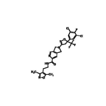 Cc1noc(C)c1CCNC(=O)c1cc2c(cn1)CN(C1=NOC(c3cc(Cl)c(F)c(Cl)c3)(C(F)(F)F)C1)C2